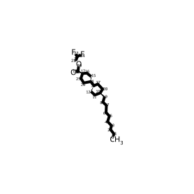 CCCCCCCCCC[C@H]1CC[C@H]([C@H]2CC[C@H](C(=O)OCC(F)F)CC2)CC1